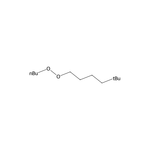 CCCCOOCCCCC(C)(C)C